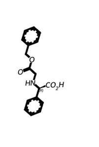 O=C(CN[C@@H](C(=O)O)c1ccccc1)OCc1ccccc1